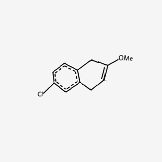 COC1=[C]Cc2cc(Cl)ccc2C1